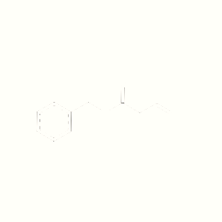 C=CCC(=O)OCc1ccccc1